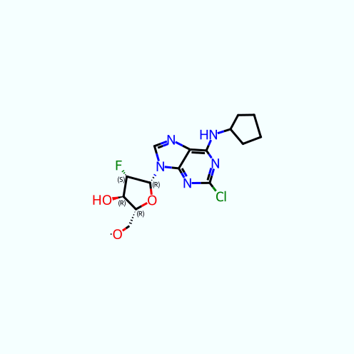 [O]C[C@H]1O[C@@H](n2cnc3c(NC4CCCC4)nc(Cl)nc32)[C@@H](F)[C@@H]1O